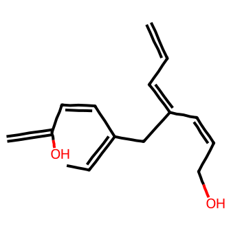 C=C/C=C(\C=C/CO)CC(/C=C\C(=C)O)=C/C